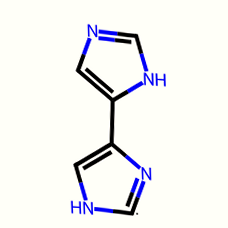 [c]1nc(-c2cnc[nH]2)c[nH]1